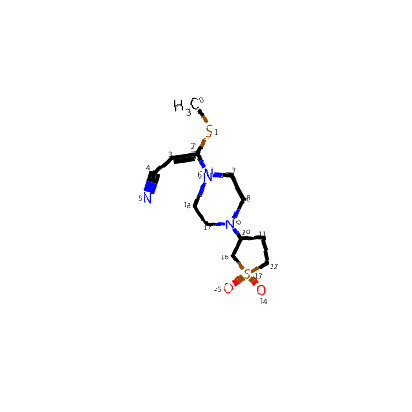 CS/C(=C/C#N)N1CCN(C2CCS(=O)(=O)C2)CC1